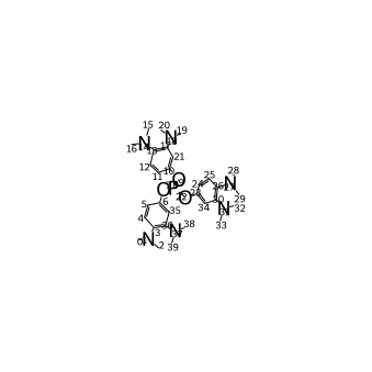 CN(C)c1ccc(OP(Oc2ccc(N(C)C)c(N(C)C)c2)Oc2ccc(N(C)C)c(N(C)C)c2)cc1N(C)C